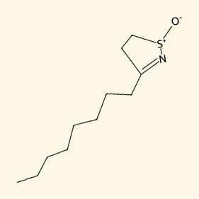 CCCCCCCCC1=N[S+]([O-])CC1